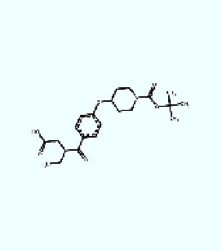 CCC(CC(=O)O)C(=O)c1ccc(OC2CCN(C(=O)OC(C)(C)C)CC2)cc1